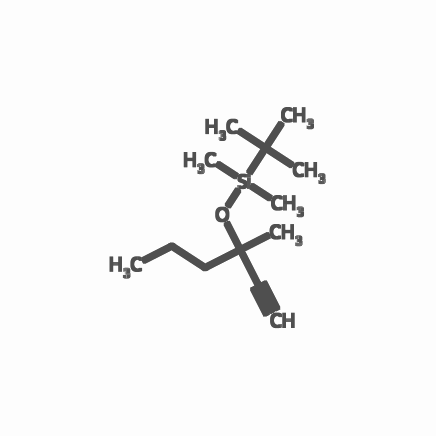 C#CC(C)(CCC)O[Si](C)(C)C(C)(C)C